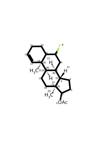 CC(=O)OC1CC[C@H]2[C@@H]3CC(F)C4CCC=C[C@]4(C)[C@@H]3CC[C@]12C